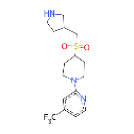 O=S(=O)(CC1CCNC1)C1CCN(c2cc(C(F)(F)F)ccn2)CC1